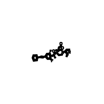 CN(C(=O)N1CCN(c2ccnn2C)C(=O)C1(C)CC=O)c1c(F)cc(C#Cc2ccccc2)cc1F